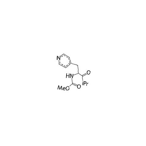 COC(=O)NC(Cc1ccncc1)C(=O)C(C)C